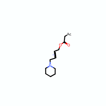 CC(=O)CC(=O)OC/C=C/CN1CCCCC1